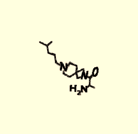 CC(C)CCCN1CCC2(CC1)CN(C(=O)C(C)N)C2